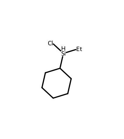 CC[SiH](Cl)C1CCCCC1